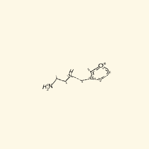 NCCNCc1ccoc1